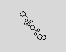 O=C(NC1CCC(C(=O)Oc2ccc3c(c2)CCC3)CC1)OCc1ccccc1